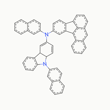 C1=CC2C(C=C1N(c1ccc3c(c1)-c1c4ccccc4cc4cccc-3c14)c1ccc3ccccc3c1)c1ccccc1N2c1ccc2ccccc2c1